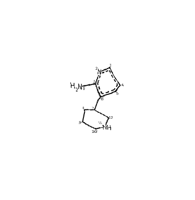 Nc1ncccc1C1CCCNC1